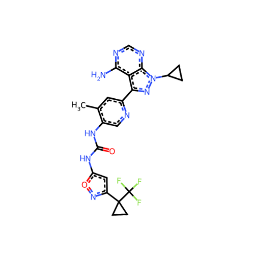 Cc1cc(-c2nn(C3CC3)c3ncnc(N)c23)ncc1NC(=O)Nc1cc(C2(C(F)(F)F)CC2)no1